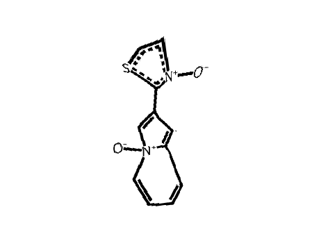 [O-][n+]1ccsc1C1=C[N+]2([O-])C=CC=CC2=[C]1